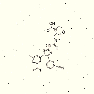 Cc1cc(-c2sc(NC(=O)N3CC4OCCN(C(=O)O)C4C3)nc2-c2cccc(C#N)c2)cc(C(F)F)n1